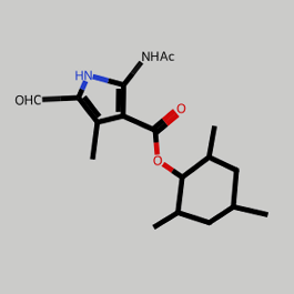 CC(=O)Nc1[nH]c(C=O)c(C)c1C(=O)OC1C(C)CC(C)CC1C